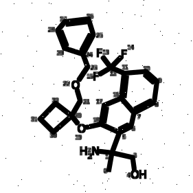 CC(N)(CO)c1cc2cccc(C(F)(F)F)c2cc1OC1(COCc2ccccc2)CCC1